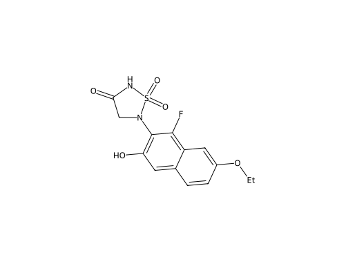 CCOc1ccc2cc(O)c(N3CC(=O)NS3(=O)=O)c(F)c2c1